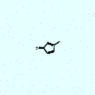 [B]=C1C=CC(C)=C1